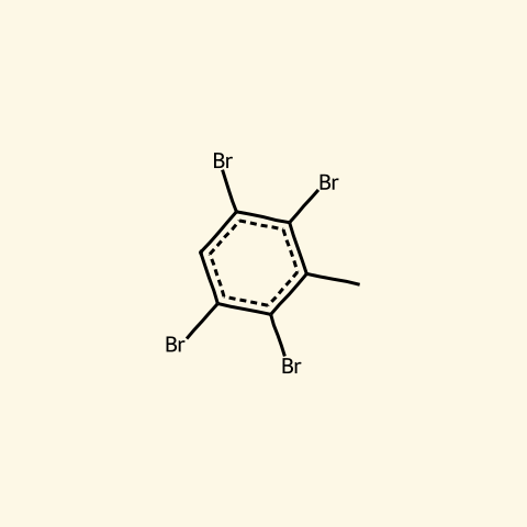 Cc1c(Br)c(Br)cc(Br)c1Br